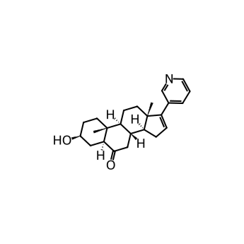 C[C@]12CC[C@H](O)C[C@@H]1C(=O)C[C@@H]1[C@@H]2CC[C@]2(C)C(c3cccnc3)=CC[C@@H]12